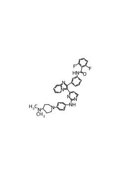 CN(C)C1CCN(c2ccc(Nc3nccc(-c4c(-c5cccc(NC(=O)c6c(F)cccc6F)c5)nc5ccccn45)n3)cc2)CC1